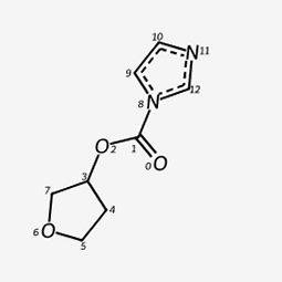 O=C(OC1CCOC1)n1ccnc1